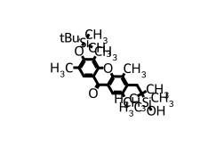 Cc1cc2c(=O)c3cc(C)c(O[Si](C)(C)C(C)(C)C)c(C)c3oc2c(C)c1CC(C)(C)[Si](C)(C)O